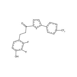 O=C(CCc1ccc(O)c(F)c1F)c1ccc(-c2ccc(C(F)(F)F)cc2)s1